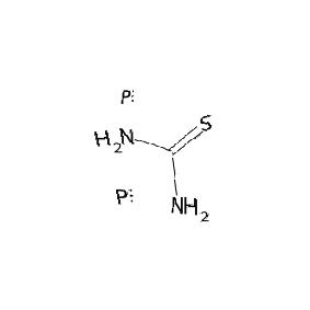 NC(N)=S.[P].[P]